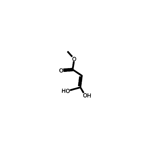 COC(=O)C=C(O)O